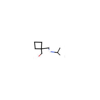 CC(C)NCC1(CO)CCC1